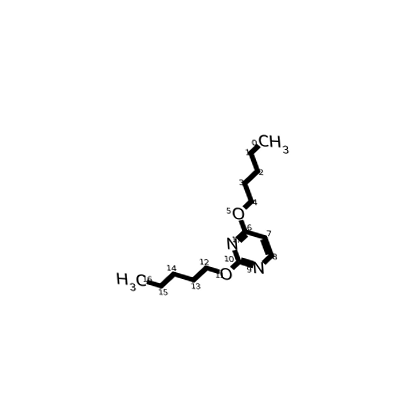 CCCCCOc1ccnc(OCCCCC)n1